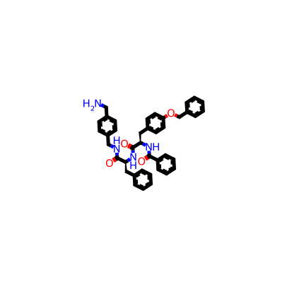 NCc1ccc(CNC(=O)[C@H](Cc2ccccc2)NC(=O)[C@@H](Cc2ccc(OCc3ccccc3)cc2)NC(=O)c2ccccc2)cc1